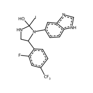 OC1(I)NCC(c2ccc(C(F)(F)F)cc2F)N1c1ccc2[nH]cnc2c1